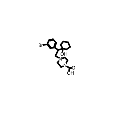 O=C(O)N1CCN(CC(c2cccc(Br)c2)C2(O)CCCCC2)CC1